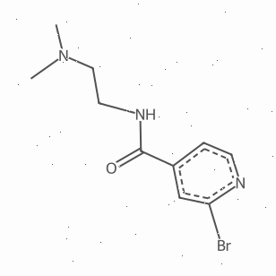 CN(C)CCNC(=O)c1ccnc(Br)c1